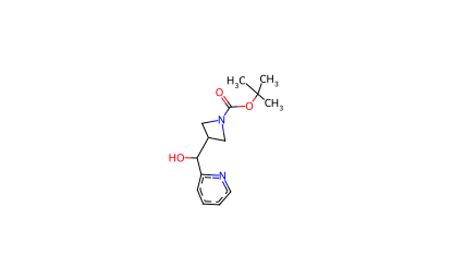 CC(C)(C)OC(=O)N1CC(C(O)c2ccccn2)C1